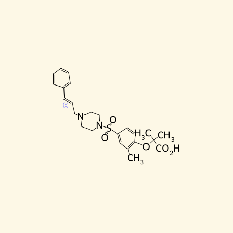 Cc1cc(S(=O)(=O)N2CCN(C/C=C/c3ccccc3)CC2)ccc1OC(C)(C)C(=O)O